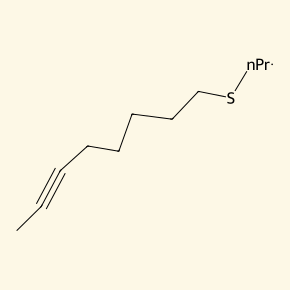 CC#CCCCCCS[CH]CC